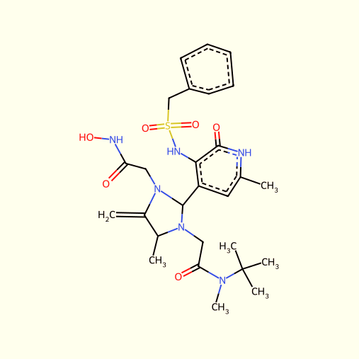 C=C1C(C)N(CC(=O)N(C)C(C)(C)C)C(c2cc(C)[nH]c(=O)c2NS(=O)(=O)Cc2ccccc2)N1CC(=O)NO